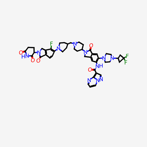 O=C1CCC(N2Cc3c(ccc(N4CCC(CN5CCC(N6Cc7cc(NC(=O)c8cnn9cccnc89)c(N8CCN(C9CC(F)(F)C9)CC8)cc7C6=O)CC5)CC4)c3F)C2=O)C(=O)N1